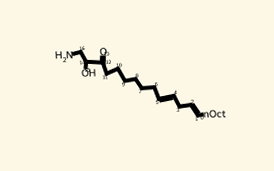 CCCCCCCCC=CCC=CCCCCCCC(=O)C(O)CN